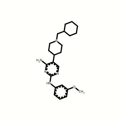 COc1cccc(Nc2ncc(C3CCN(CC4CCCCC4)CC3)c(N)n2)c1